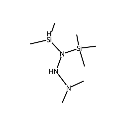 CN(C)NN([SiH](C)C)[Si](C)(C)C